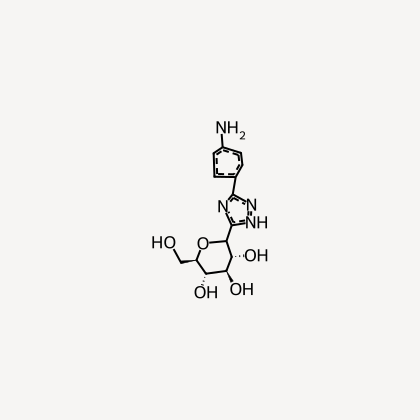 Nc1ccc(-c2n[nH]c(C3O[C@H](CO)[C@@H](O)[C@H](O)[C@H]3O)n2)cc1